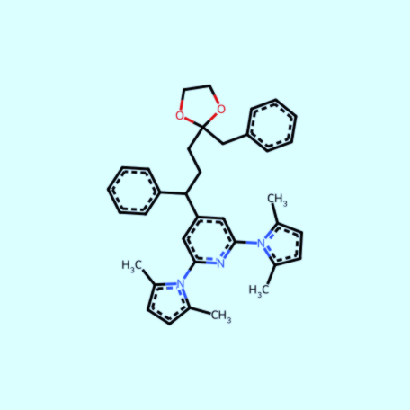 Cc1ccc(C)n1-c1cc(C(CCC2(Cc3ccccc3)OCCO2)c2ccccc2)cc(-n2c(C)ccc2C)n1